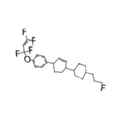 FCCCC1CCC(C2C=CC(c3ccc(OC(F)(F)C=C(F)F)cc3)CC2)CC1